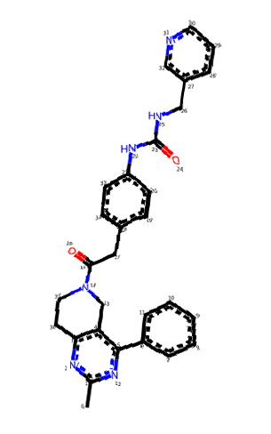 Cc1nc2c(c(-c3ccccc3)n1)CN(C(=O)Cc1ccc(NC(=O)NCc3cccnc3)cc1)CC2